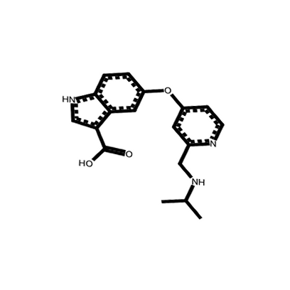 CC(C)NCc1cc(Oc2ccc3[nH]cc(C(=O)O)c3c2)ccn1